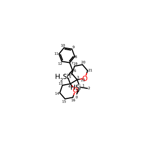 C[SiH](C)C1(C2([SiH2]Cc3ccccc3)CCCCO2)CCCCO1